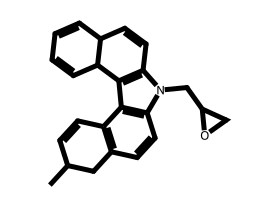 CC1C=Cc2c(ccc3c2c2c(n3CC3CO3)C=CC3C=CC=CC23)C1